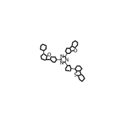 c1ccc(-c2cccc3c2oc2cc(-c4nc(-c5cccc(-c6cccc7c6sc6ccccc67)c5)nc(-c5ccc6c(c5)oc5ccccc56)n4)ccc23)cc1